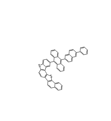 c1ccc(-c2ccc3cc(-c4c5ccccc5c(-c5ccc6sc7ccc8c9ccc%10ccccc%10c9sc8c7c6c5)c5ccccc45)ccc3c2)cc1